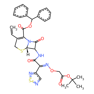 C=CC1=C(C(=O)OC(c2ccccc2)c2ccccc2)N2C(=O)C(NC(=O)C(=NOCC(=O)OC(C)(C)C)c3cnsn3)[C@@H]2SC1